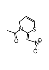 CC(=O)N1CC=CSC1=C[N+](=O)[O-]